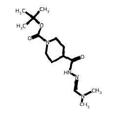 CN(C)/C=N/NC(=O)C1CCN(C(=O)OC(C)(C)C)CC1